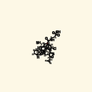 N.O=C(NCCS(=O)(=O)O)c1cc(F)c2nc(C3(O)[C@@H]4CC[C@H]3CC(OCc3c(-c5c(Cl)cccc5Cl)noc3C3CC3)C4)sc2c1